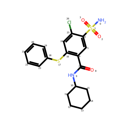 NS(=O)(=O)c1cc(C(=O)NC2CCCCC2)c(Sc2ccccc2)cc1Cl